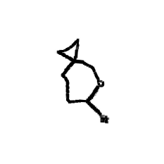 CCC1CCC2(CC2)CO1